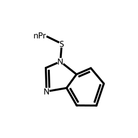 CCCSn1cnc2ccccc21